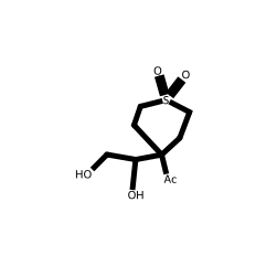 CC(=O)C1(C(O)CO)CCS(=O)(=O)CC1